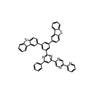 c1ccc(-c2cc(-c3cnc(-c4ccccn4)cn3)nc(-c3cc(-c4ccc5sc6ccccc6c5c4)cc(-c4ccc5sc6ccccc6c5c4)c3)n2)cc1